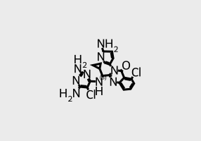 Nc1ccc(-n2c([C@@H](Nc3nc(N)nc(N)c3Cl)C3CC3)nc3cccc(Cl)c3c2=O)cn1